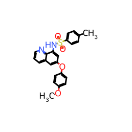 COc1ccc(Oc2cc(NS(=O)(=O)c3ccc(C)cc3)c3ncccc3c2)cc1